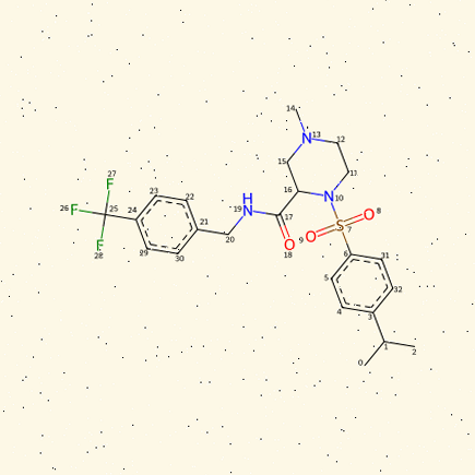 CC(C)c1ccc(S(=O)(=O)N2CCN(C)CC2C(=O)NCc2ccc(C(F)(F)F)cc2)cc1